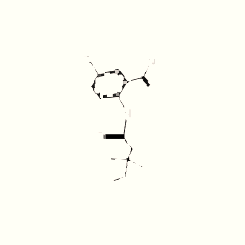 CC(C)(CC(=O)O)CC(=O)Nc1ccc(Cl)cc1C(N)=O